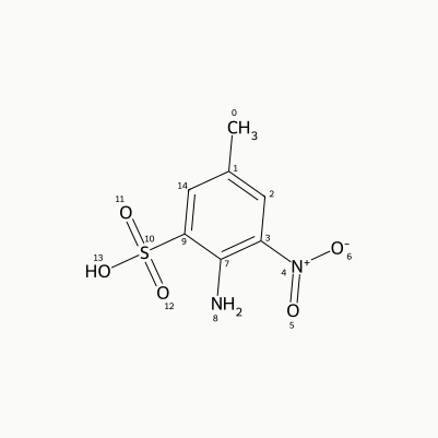 Cc1cc([N+](=O)[O-])c(N)c(S(=O)(=O)O)c1